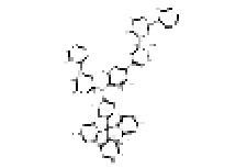 c1ccc(-c2cccc(N(c3ccc(-c4ccc5oc6c(-c7ccccc7)cccc6c5c4)cc3)c3ccc4c(c3)-c3ccccc3C43c4ccccc4-c4ccccc43)c2)cc1